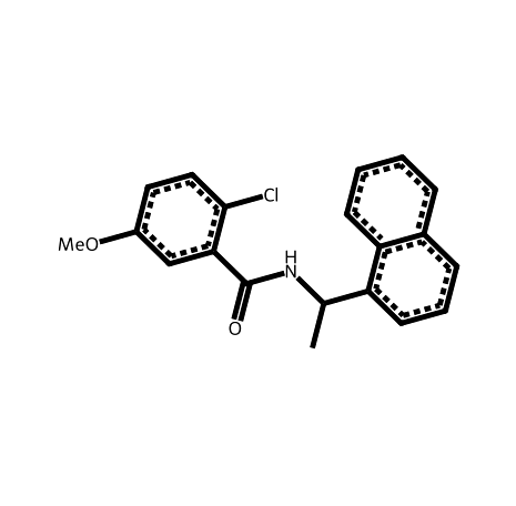 COc1ccc(Cl)c(C(=O)NC(C)c2cccc3ccccc23)c1